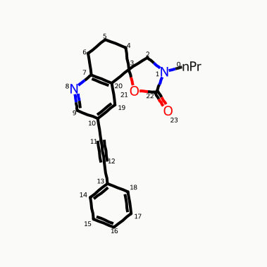 CCCN1CC2(CCCc3ncc(C#Cc4ccccc4)cc32)OC1=O